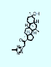 Cc1nnn(CC(=O)[C@@H]2CC[C@H]3[C@@H]4[C@H](C)C[C@H]5C[C@](C)(O)CC[C@]5(C)[C@H]4CC[C@]23C)n1